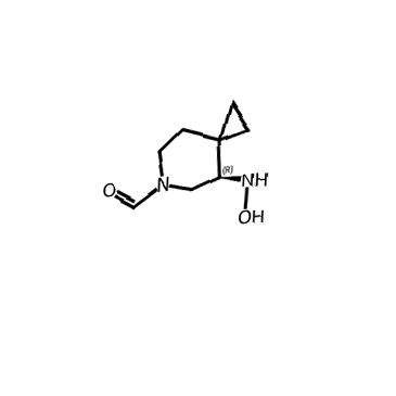 O=CN1CCC2(CC2)[C@@H](NO)C1